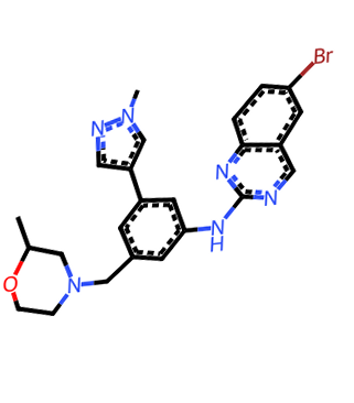 CC1CN(Cc2cc(Nc3ncc4cc(Br)ccc4n3)cc(-c3cnn(C)c3)c2)CCO1